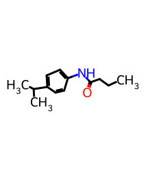 CCCC(=O)Nc1ccc(C(C)C)cc1